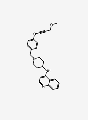 COCC#COc1ccc(CN2CCC(Nc3ccnc4ccccc34)CC2)cc1